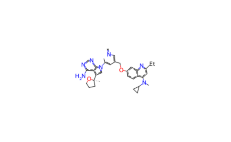 C=N/C=C(\C=C(/C)n1cc([C@@]2(C)CCCO2)c2c(N)ncnc21)COc1ccc2c(N(C)C3CC3)cc(CC)nc2c1